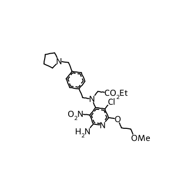 CCOC(=O)CN(Cc1ccc(CN2CCCC2)cc1)c1c(Cl)c(OCCOC)nc(N)c1[N+](=O)[O-]